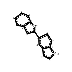 c1ccc2oc(-c3ccc4sccc4c3)cc2c1